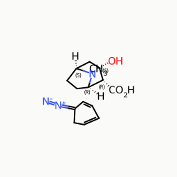 CN1[C@H]2CC[C@@H]1[C@@H](C(=O)O)[C@@H](O)C2.[N-]=[N+]=C1C=CC=CC1